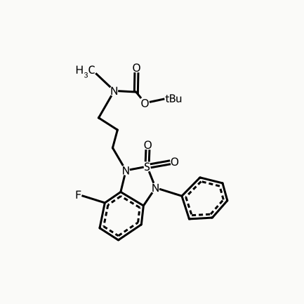 CN(CCCN1c2c(F)cccc2N(c2ccccc2)S1(=O)=O)C(=O)OC(C)(C)C